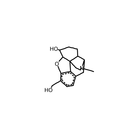 CN1CCC23c4c5ccc(CO)c4OC2C(O)CCC3C1C5